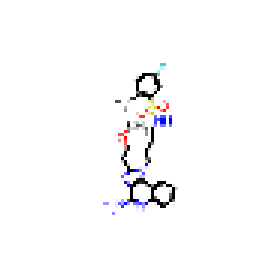 COCCc1nc2c(N)nc3ccccc3c2n1CCCCNS(=O)(=O)c1cc(F)ccc1C